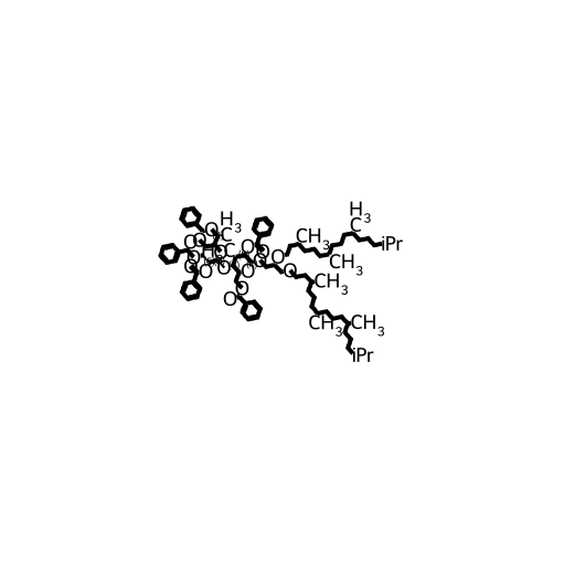 CC(C)CCCC(C)CCCC(C)CCCC(C)CCOCC(CO[C@@H]1OC(COC(=O)c2ccccc2)[C@@H](O[C@H](OC2COC(c3ccccc3)O[C@@H]2C)[C@H](COC(=O)c2ccccc2)OC(=O)c2ccccc2)C(C)[C@@H]1OC(=O)c1ccccc1)OCCC(C)CCCC(C)CCCC(C)CCCC(C)C